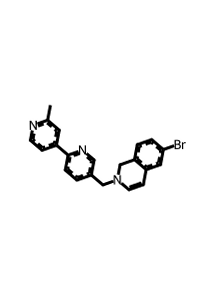 Cc1cc(-c2ccc(CN3C=Cc4cc(Br)ccc4C3)cn2)ccn1